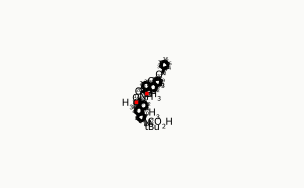 CC(C)(C)N(C(=O)O)c1ccc2c(c1)[C@@]1(C)CCC[C@](C)(C(=O)NC(=O)[C@@]3(C)CCC[C@]4(C)c5cc(OCc6ccccc6)ccc5CC[C@@H]34)[C@@H]1CC2